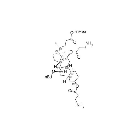 CCCCCCOC(=O)CC[C@@H](C)[C@H]1CC[C@H]2[C@@H]3[C@H](OCCCC)C[C@@H]4C[C@H](OC(=O)CCN)CC[C@]4(C)[C@H]3C[C@H](OC(=O)CCN)[C@]12C